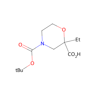 CCC1(C(=O)O)CN(C(=O)OC(C)(C)C)CCO1